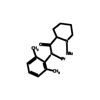 CCCCN1CCCCC1C(=O)N(c1c(C)cccc1C)C(C)C